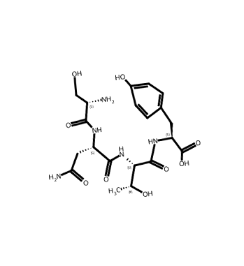 C[C@@H](O)[C@H](NC(=O)[C@H](CC(N)=O)NC(=O)[C@@H](N)CO)C(=O)N[C@@H](Cc1ccc(O)cc1)C(=O)O